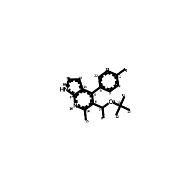 Cc1ccc(-c2c(C(C)OC(C)(C)C)c(C)nc3[nH]ccc23)cc1